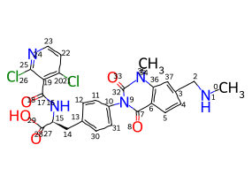 CNCc1ccc2c(=O)n(-c3ccc(C[C@H](NC(=O)c4c(Cl)ccnc4Cl)C(=O)O)cc3)c(=O)n(C)c2c1